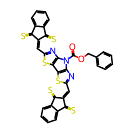 O=C(OCc1ccccc1)n1c2nc(C=C3C(=S)c4ccccc4C3=S)sc2c2sc(C=C3C(=S)c4ccccc4C3=S)nc21